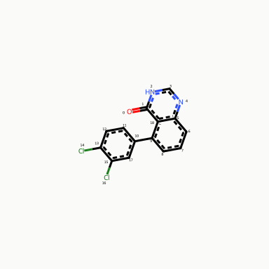 O=c1[nH]cnc2cccc(-c3ccc(Cl)c(Cl)c3)c12